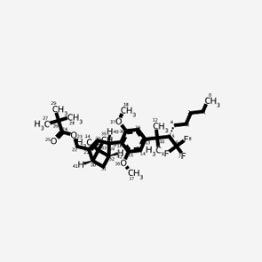 CCCCC[C@H](C(F)(F)F)C(C)(C)c1cc(OC)c([C@H]2C=C(COC(=O)C(C)(C)C)[C@H]3C[C@@H]2C3(C)C)c(OC)c1